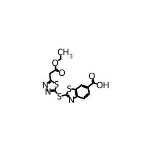 CCOC(=O)Cc1nnc(Sc2nc3ccc(C(=O)O)cc3s2)s1